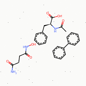 CC(=O)N[C@@H](Cc1ccccc1)C(=O)O.NC(=O)CCC(=O)NO.c1ccc(-c2ccccc2)cc1